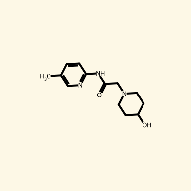 Cc1ccc(NC(=O)CN2CCC(O)CC2)nc1